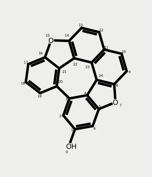 Oc1cc2c3c(c1)oc1ccc4ccc5oc6cccc-2c6c5c4c13